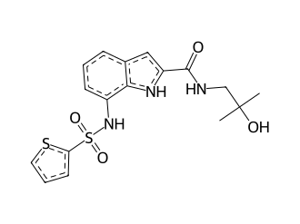 CC(C)(O)CNC(=O)c1cc2cccc(NS(=O)(=O)c3cccs3)c2[nH]1